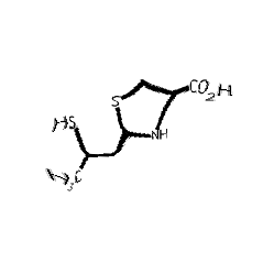 CC(S)CC1NC(C(=O)O)CS1